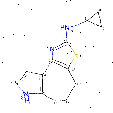 c1n[nH]c2c1-c1nc(NC3CC3)sc1CCC2